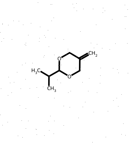 C=C1COC(C(C)C)OC1